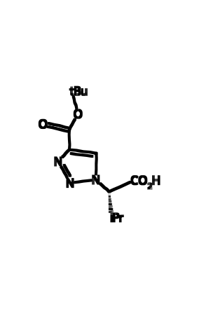 CC(C)[C@@H](C(=O)O)n1cc(C(=O)OC(C)(C)C)nn1